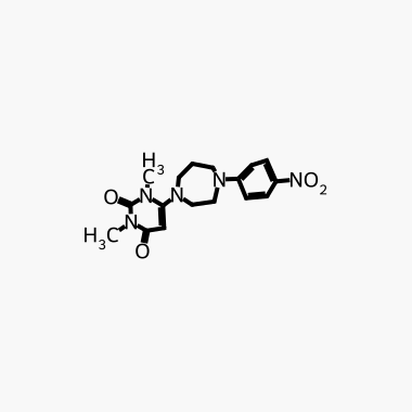 Cn1c(N2CCCN(c3ccc([N+](=O)[O-])cc3)CC2)cc(=O)n(C)c1=O